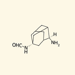 N[C@H]1C2CC3CC1C[C@](NC=O)(C3)C2